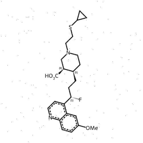 COc1ccc2nccc([C@@H](F)CC[C@@H]3CCN(CCSC4CC4)C[C@@H]3C(=O)O)c2c1